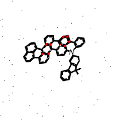 CC1(C)C2=C(C=C(N(c3ccccc3C3=C=C=CC=C3)c3ccc(-c4ccc(-c5cccc6cccc(-c7ccccc7)c56)cc4)c4c(-c5ccccc5)cccc34)CC2)c2ccccc21